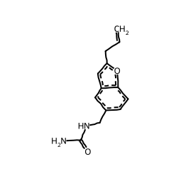 C=CCc1cc2cc(CNC(N)=O)ccc2o1